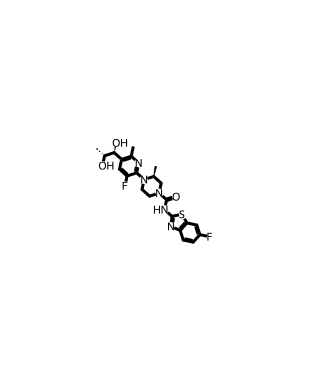 Cc1nc(N2CCN(C(=O)Nc3nc4ccc(F)cc4s3)C[C@@H]2C)c(F)cc1[C@@H](O)[C@@H](C)O